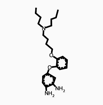 CCCCN(CCCC)CCCCOc1ccccc1Oc1ccc(N)c(N)c1